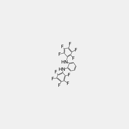 Fc1c(F)c(F)c(Nc2ccccc2Nc2c(F)c(F)c(F)c(F)c2F)c(F)c1F